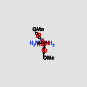 COCCCC1CCC(C(=O)Oc2ccc(/C=C/C(=O)CC(Cc3ccc(N)cc3)(Cc3ccc(N)cc3)C(O)(O)C(=O)/C=C/c3ccc(OC(=O)C4CCC(CCCOC)CC4)cc3)cc2)CC1